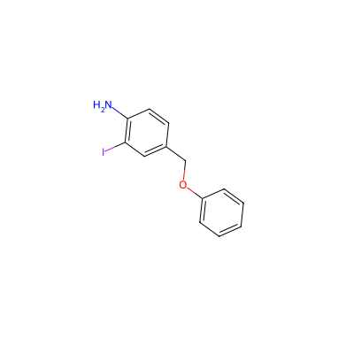 Nc1ccc(COc2ccccc2)cc1I